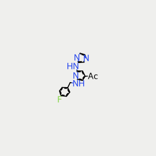 CC(=O)c1cc(NCc2ccc(F)cc2)nc(Nc2cnccn2)c1